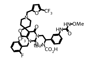 CONC(=O)Nc1cccc(C(Cn2c(=O)c3c(n(Cc4c(F)cccc4C(F)(F)F)c2=O)COC32CCN(Cc3ccc(C(F)(F)F)o3)CC2)N(C(=O)O)C(C)(C)C)c1